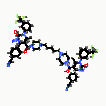 CC1=C(C(=O)N2CCN(CCCCCN3CCN(C(=O)C4=C(C)N(c5cccc(C(F)(F)F)c5)C(=O)N[C@@H]4c4ccc(C#N)cc4)CC3)CC2)[C@@H](c2ccc(C#N)cc2)NC(=O)N1c1cccc(C(F)(F)F)c1